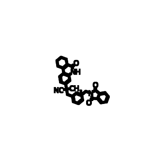 CC(C#N)(Cc1cccc(CN2C(=O)c3ccccc3C2=O)c1)c1ccc2c3c(c(=O)[nH]c2c1)CCCC3